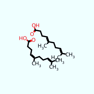 CC(C)=CCC/C(C)=C/CCC(=O)O.CC(C)=CCC/C(C)=C\CCC(=O)O